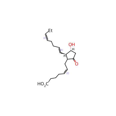 CC/C=C\CC/C=C/[C@@H]1C(C/C=C\CCCC(=O)O)C(=O)C[C@H]1O